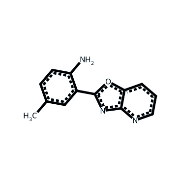 Cc1ccc(N)c(-c2nc3ncccc3o2)c1